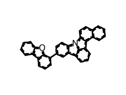 c1ccc2c(c1)ccc1c2c2cccc3c4cc(-c5cccc6c5oc5ccccc56)ccc4n1c32